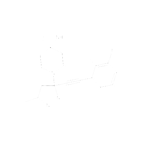 CC1CC(C#Cc2cccc(F)c2F)(N2CCC(C)(N)CC2)NN1